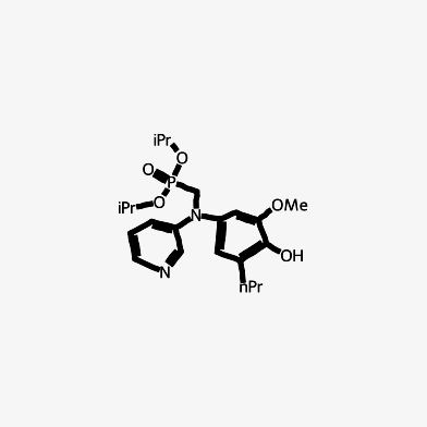 CCCc1cc(N(CP(=O)(OC(C)C)OC(C)C)c2cccnc2)cc(OC)c1O